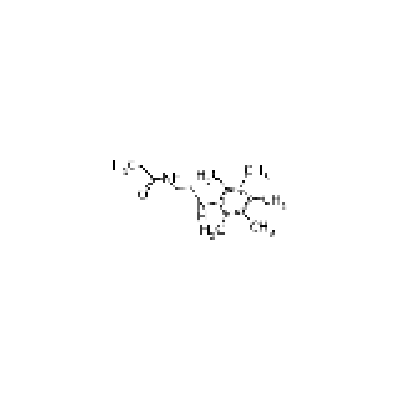 CCC(=O)NCCNc1c(C)c(C)c(C)c(C)c1C